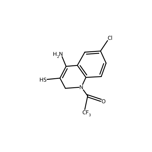 NC1=C(S)CN(C(=O)C(F)(F)F)c2ccc(Cl)cc21